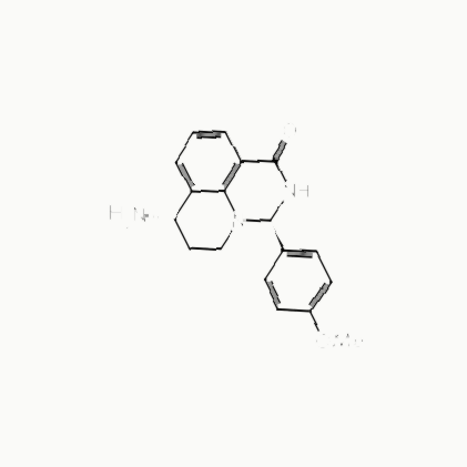 COc1ccc([C@@H]2NC(=O)c3cccc4c3N2CC[C@@H]4N)cc1